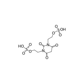 O=C1CC(=O)N(CCOS(=O)(=O)O)C(=O)N1CCOS(=O)(=O)O